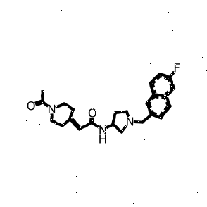 CC(=O)N1CCC(=CC(=O)NC2CCN(Cc3ccc4cc(F)ccc4c3)C2)CC1